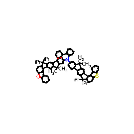 CC(C)C1(C(C)C)c2cc3c(cc2-c2c1ccc1oc4ccccc4c21)C(C)(C)c1cc(N(c2ccc4c(c2)C(C)(C)c2cc5c(cc2-4)C(C(C)C)(C(C)C)c2ccc4sc6ccccc6c4c2-5)c2ccccc2-c2ccccc2)ccc1-3